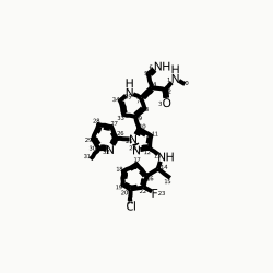 CNC(=O)/C(C=N)=C1\C=C(c2cc(NC(C)c3cccc(Cl)c3F)nn2-c2cccc(C)n2)C=CN1